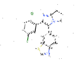 Clc1ccc(Cl)c(-c2nc3n(c2-c2ccc4ncsc4c2)CCC3)c1